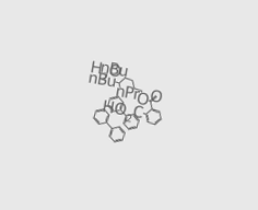 CCCCC(CCC)C(CCCC)CCCOC(=O)c1ccccc1C(=O)O.O.c1ccc(-c2ccccc2)cc1.c1ccc(-c2ccccc2)cc1